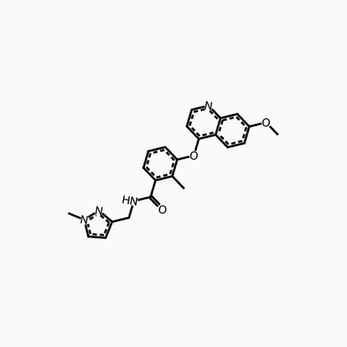 COc1ccc2c(Oc3cccc(C(=O)NCc4ccn(C)n4)c3C)ccnc2c1